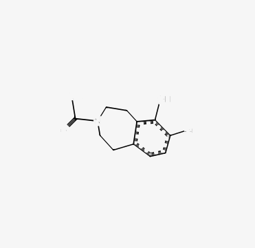 O=C(N1CCc2ccc(Br)c(O)c2CC1)C(F)(F)F